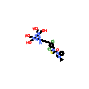 O=C(C1CSCN1Cc1cc(Cl)c(CCCCCNc2nc(N(CCO)CCO)nc(N(CCO)CCO)n2)cc1Cl)N1CCN(C2CC2)c2ccccc21